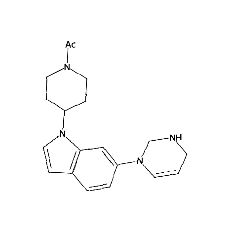 CC(=O)N1CCC(n2ccc3ccc(N4C=CCNC4)cc32)CC1